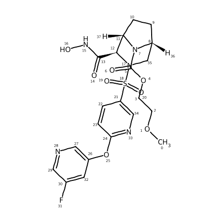 COCCOC(=O)N1[C@@H]2CC[C@H]1[C@H](C(=O)NO)N(S(=O)(=O)c1ccc(Oc3cncc(F)c3)nc1)C2